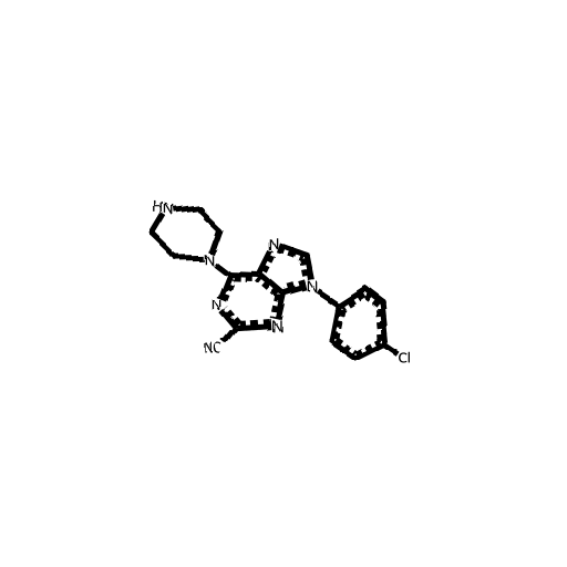 N#Cc1nc(N2CCNCC2)c2ncn(-c3ccc(Cl)cc3)c2n1